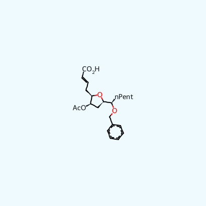 CCCCC[C@@H](OCc1ccccc1)[C@H]1C[C@@H](OC(C)=O)[C@@H](C/C=C/C(=O)O)O1